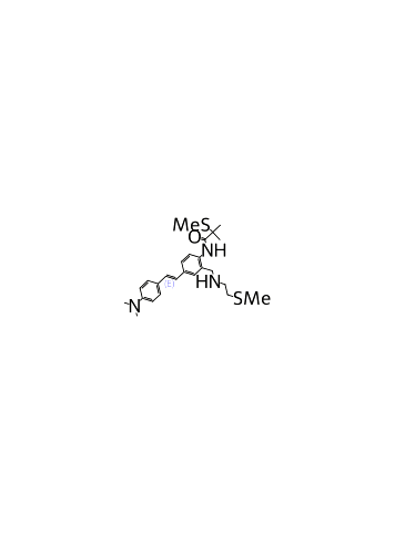 CSCCNCc1cc(/C=C/c2ccc(N(C)C)cc2)ccc1NC(=O)C(C)(C)SC